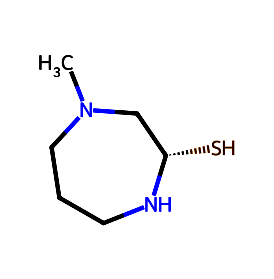 CN1CCCN[C@@H](S)C1